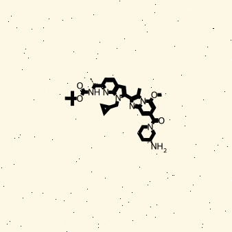 COc1cc(C(=O)N2CCC[C@@H](N)C2)cc2nc(-c3cc4ccc([C@@H](C)NC(=O)OC(C)(C)C)nc4n3CC3CC3)c(C)n12